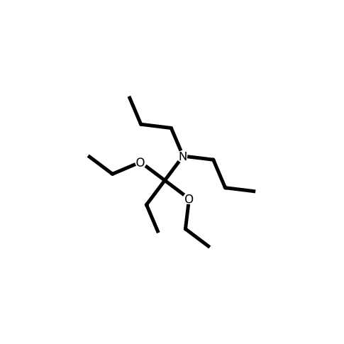 CCCN(CCC)C(CC)(OCC)OCC